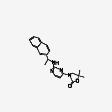 CC(Nc1nccc(N2CC(C)(C)OC2=O)n1)c1ccc2ccccc2c1